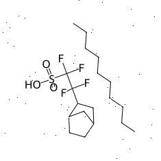 CCCCCCCCCC.O=S(=O)(O)C(F)(F)C(F)(F)C1CC2CCC1C2